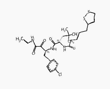 CCNC(=O)C(=O)[C@H](Cc1ccc(Cl)cc1)NC(=O)[C@H](CC(C)(C)C)NC(=O)CCCCC1CCSS1